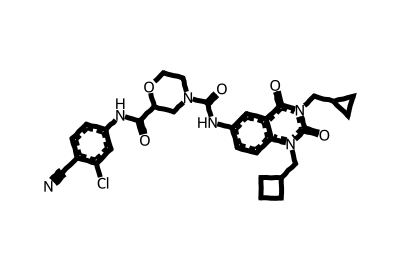 N#Cc1ccc(NC(=O)C2CN(C(=O)Nc3ccc4c(c3)c(=O)n(CC3CC3)c(=O)n4CC3CCC3)CCO2)cc1Cl